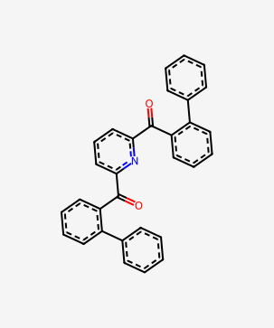 O=C(c1cccc(C(=O)c2ccccc2-c2ccccc2)n1)c1ccccc1-c1ccccc1